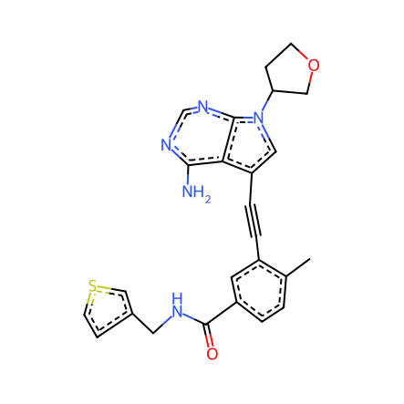 Cc1ccc(C(=O)NCc2ccsc2)cc1C#Cc1cn(C2CCOC2)c2ncnc(N)c12